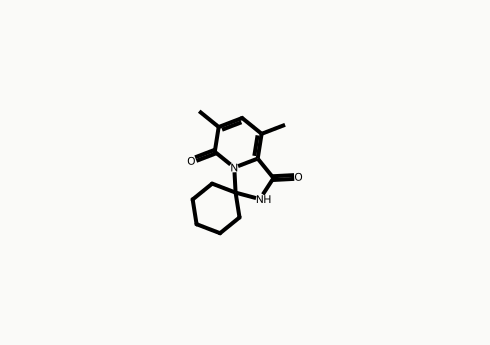 Cc1cc(C)c(=O)n2c1C(=O)NC21CCCCC1